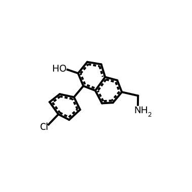 NCc1ccc2c(-c3ccc(Cl)cc3)c(O)ccc2c1